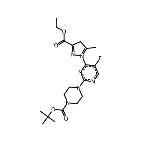 CCOC(=O)C1=N[N+](c2nc(N3CCN(C(=O)OC(C)(C)C)CC3)ncc2F)=C(C)C1